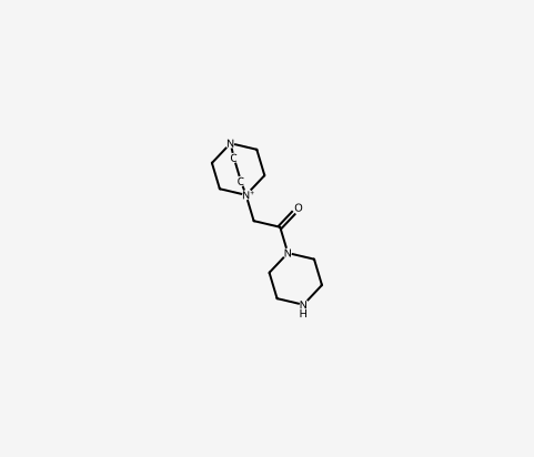 O=C(C[N+]12CCN(CC1)CC2)N1CCNCC1